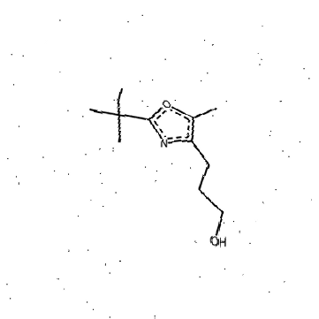 Cc1oc(C(C)(C)C)nc1CCCO